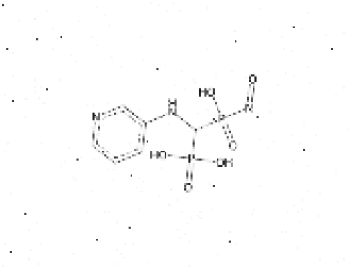 O=NP(=O)(O)C(Nc1cccnc1)P(=O)(O)O